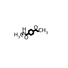 CCC(=O)C1CCC(C(=O)NC)CC1